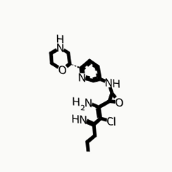 CCCC(=N)/C(Cl)=C(\N)C1OC1Nc1ccc([C@H]2CNCCO2)nc1